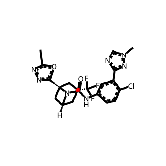 Cc1nnc([C@@]23C[C@@H](C[C@@H](C(F)(F)F)C2)N3C(=O)Nc2ccc(Cl)c(-c3ncn(C)n3)c2)o1